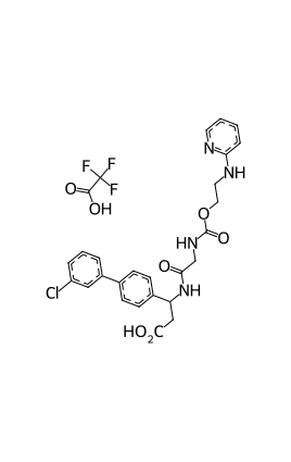 O=C(O)C(F)(F)F.O=C(O)CC(NC(=O)CNC(=O)OCCNc1ccccn1)c1ccc(-c2cccc(Cl)c2)cc1